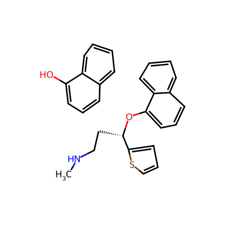 CNCC[C@H](Oc1cccc2ccccc12)c1cccs1.Oc1cccc2ccccc12